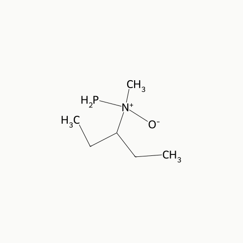 CCC(CC)[N+](C)([O-])P